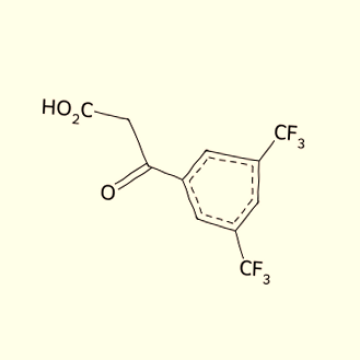 O=C(O)CC(=O)c1cc(C(F)(F)F)cc(C(F)(F)F)c1